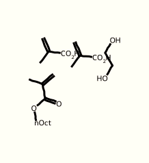 C=C(C)C(=O)O.C=C(C)C(=O)O.C=C(C)C(=O)OCCCCCCCC.OCCO